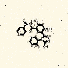 CN(C(=O)c1ccncc1)C(=O)c1cc(-c2nnc(O)n2-c2ccccc2F)c(O)cc1O